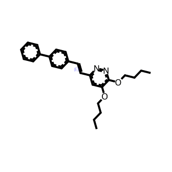 CCCCOc1cc(/C=C/c2ccc(-c3ccccc3)cc2)nnc1OCCCC